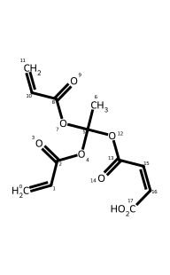 C=CC(=O)OC(C)(OC(=O)C=C)OC(=O)/C=C\C(=O)O